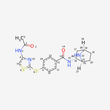 CC(=O)Nc1csc(Sc2ccc(C(=O)N[C@@H]3C[C@H]4CC[C@@H]3N4)cc2)n1